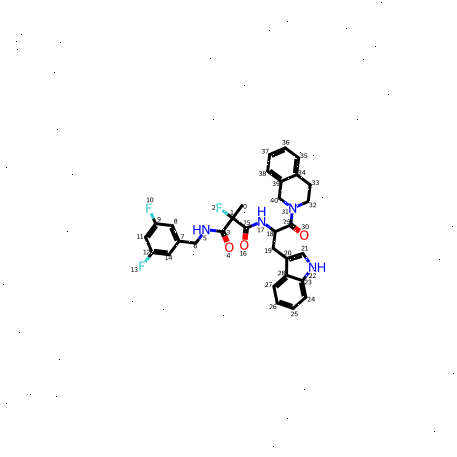 CC(F)(C(=O)NCc1cc(F)cc(F)c1)C(=O)NC(Cc1c[nH]c2ccccc12)C(=O)N1CCc2ccccc2C1